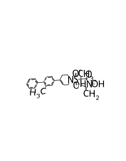 C=CCC(C)(C(=O)NO)S(=O)(=O)N1CC=C(c2ccc(-c3ccccc3)c(C)c2)CC1